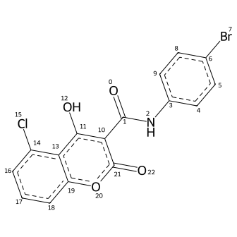 O=C(Nc1ccc(Br)cc1)c1c(O)c2c(Cl)cccc2oc1=O